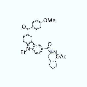 CCn1c2ccc(C(=O)/C(CC3CCCC3)=N/OC(C)=O)cc2c2cc(C(=O)c3ccc(OC)cc3)ccc21